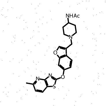 CC(=O)NC1CCN(Cc2coc3cc(Oc4nc5nc(C)ccc5s4)ccc23)CC1